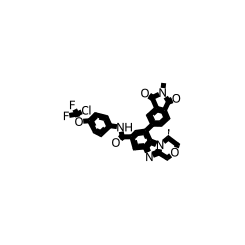 C[C@@H]1COCc2nc3cc(C(=O)Nc4ccc(OC(F)(F)Cl)cc4)cc(-c4ccc5c(c4)C(=O)N(C)C5=O)c3n21